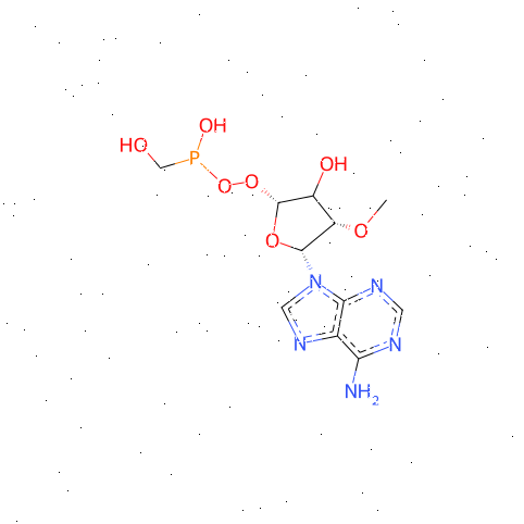 CO[C@H]1C(O)[C@@H](OOP(O)CO)O[C@H]1n1cnc2c(N)ncnc21